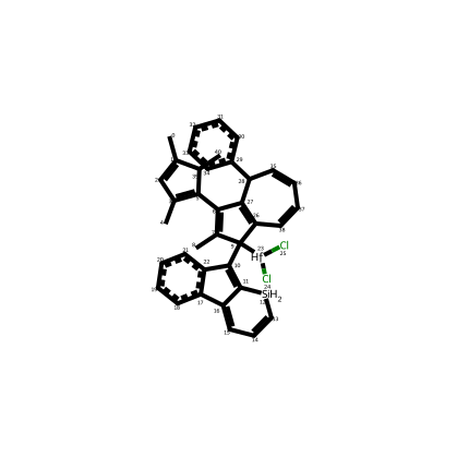 CC1=CC(C)=C(C2=C(C)[C](C3=C4[SiH2]C=CC=C4c4ccccc43)([Hf]([Cl])[Cl])C3=C2C(c2ccccc2)C=CC=C3)C1C